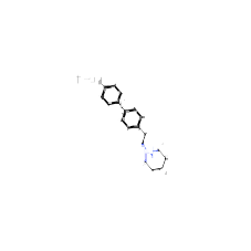 CC(C)(C)c1ccc(-c2ccc(CCN3CCCCC3)cc2)cc1